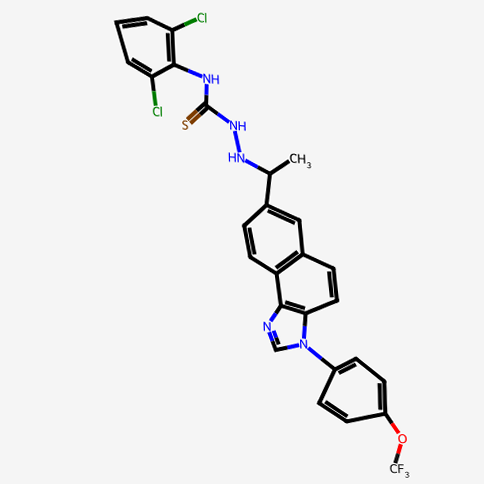 CC(NNC(=S)Nc1c(Cl)cccc1Cl)c1ccc2c(ccc3c2ncn3-c2ccc(OC(F)(F)F)cc2)c1